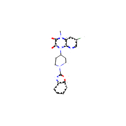 Cn1c(=O)c(=O)n(C2CCN(c3nc4ccccc4o3)CC2)c2ncc(F)cc21